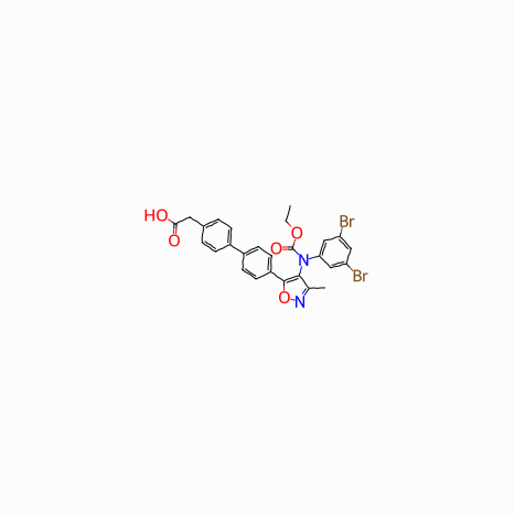 CCOC(=O)N(c1cc(Br)cc(Br)c1)c1c(C)noc1-c1ccc(-c2ccc(CC(=O)O)cc2)cc1